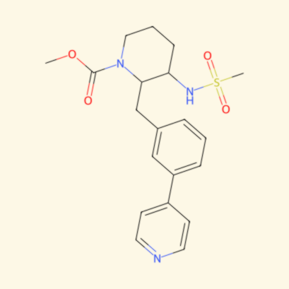 COC(=O)N1CCCC(NS(C)(=O)=O)C1Cc1cccc(-c2ccncc2)c1